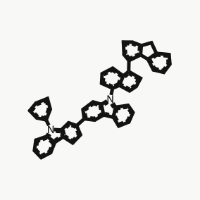 c1ccc(-n2c3ccccc3c3ccc(-c4ccc5c(c4)c4ccccc4n5-c4cccc5c(-c6cccc7c6-c6ccccc6C7)cccc45)cc32)cc1